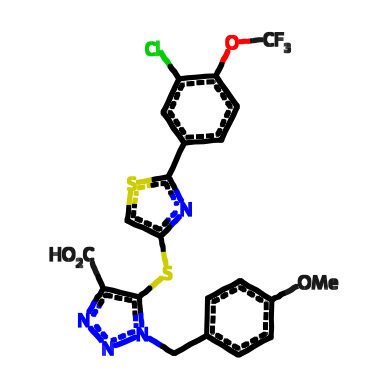 COc1ccc(Cn2nnc(C(=O)O)c2Sc2csc(-c3ccc(OC(F)(F)F)c(Cl)c3)n2)cc1